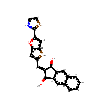 O=C1C(=Cc2cc3oc(-c4nccs4)cc3s2)C(=O)c2cc3ccccc3cc21